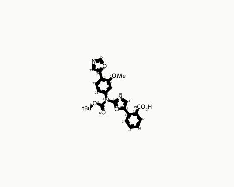 COc1cc(N(C(=O)OC(C)(C)C)c2ncc(-c3ccccc3C(=O)O)o2)ccc1-c1cnco1